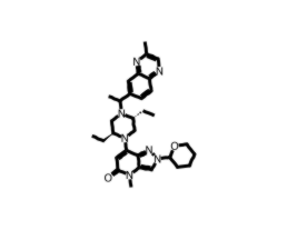 CC[C@H]1CN(C(C)c2ccc3ncc(C)nc3c2)[C@H](CC)CN1c1cc(=O)n(C)c2cn(C3CCCCO3)nc12